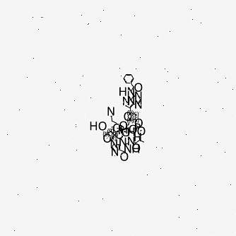 CC(C)C(=O)Nc1nc2c(ncn2[C@@H]2O[C@H](CO)[C@@H](C)[C@H]2OP(=O)(OCCC#N)OC[C@H]2O[C@@H](c3cnn4c(NC(=O)c5ccccc5)ncnc34)[C@H](C)[C@@H]2O[PH](=O)O)c(=O)[nH]1